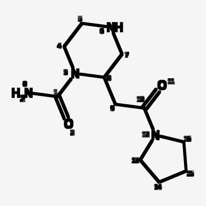 NC(=O)N1CCNCC1CC(=O)N1CCCC1